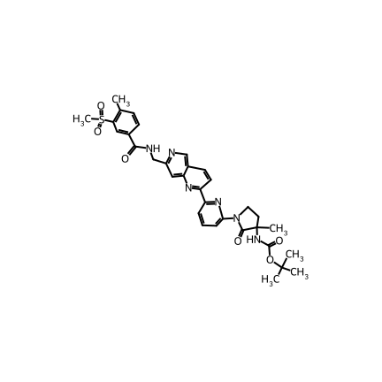 Cc1ccc(C(=O)NCc2cc3nc(-c4cccc(N5CCC(C)(NC(=O)OC(C)(C)C)C5=O)n4)ccc3cn2)cc1S(C)(=O)=O